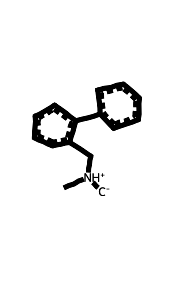 [CH2-][NH+](C)Cc1ccccc1-c1ccccc1